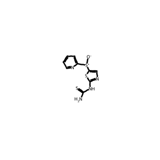 NC(=S)Nc1ncc([S+]([O-])c2ccccn2)s1